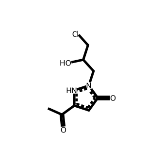 CC(=O)c1cc(=O)n(CC(O)CCl)[nH]1